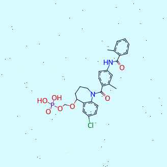 Cc1ccccc1C(=O)Nc1ccc(C(=O)N2CCCC(OCOP(=O)(O)O)c3cc(Cl)ccc32)c(C)c1